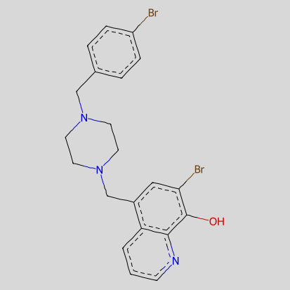 Oc1c(Br)cc(CN2CCN(Cc3ccc(Br)cc3)CC2)c2cccnc12